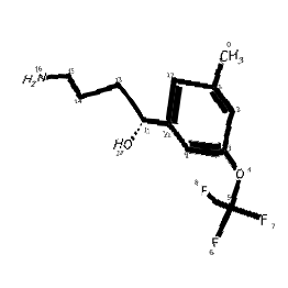 Cc1cc(OC(F)(F)F)cc([C@H](O)CCCN)c1